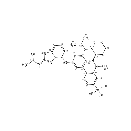 CC(=O)Nc1nc2c(Oc3cc(-c4ccc(C(F)(F)F)nc4N(C)C[C@@H]4CCCCN4CC(C)C)ncn3)cccc2s1